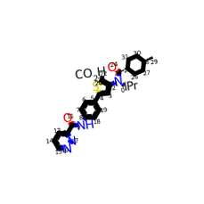 CC(C)N(c1cc(-c2ccc(NC(=O)c3cccnn3)cc2)sc1C(=O)O)C(=O)[C@H]1CC[C@H](C)CC1